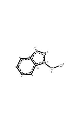 ClOn1nnc2ccccc21